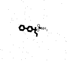 CCCC(C)(OC(N)=O)c1ccc(-c2ccccc2)cc1